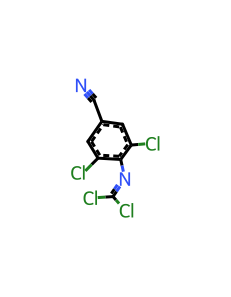 N#Cc1cc(Cl)c(N=C(Cl)Cl)c(Cl)c1